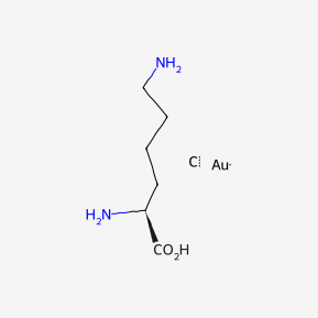 NCCCC[C@H](N)C(=O)O.[Au].[C]